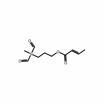 CC=CC(=O)OCCC[Si](C)(C=O)C=O